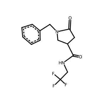 O=C(NCC(F)(F)F)C1CC(=O)N(Cc2ccccc2)C1